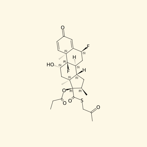 CCC(=O)O[C@]1(C(=O)SCC(C)=O)[C@H](C)C[C@H]2[C@@H]3C[C@H](F)C4=CC(=O)C=C[C@]4(C)[C@@]3(F)[C@@H](O)C[C@@]21C